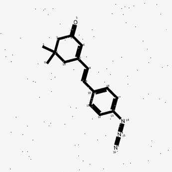 CC1(C)CC(=O)C=C(C=Cc2ccc(N=[N+]=[N-])cc2)C1